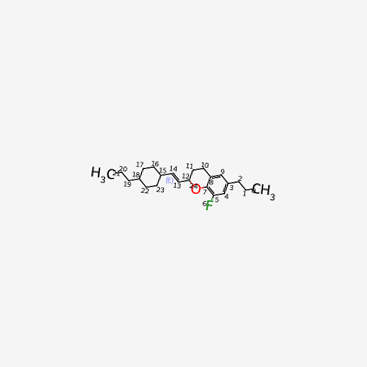 CCCc1cc(F)c2c(c1)CCC(/C=C/C1CCC(CCC)CC1)O2